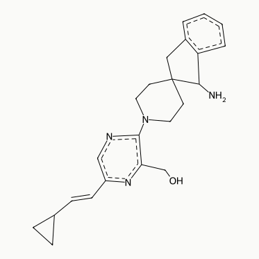 NC1c2ccccc2CC12CCN(c1ncc(C=CC3CC3)nc1CO)CC2